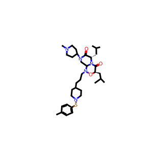 Cc1ccc(SN2CCC(CCCN3O[C@H](CC(C)C)C(=O)N4C3CN(C3CCN(C)CC3)C(=O)[C@@H]4CC(C)C)CC2)cc1